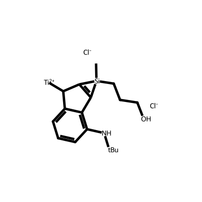 CC(C)(C)Nc1cccc2c1C1=C([CH]2[Ti+2])[Si]1(C)CCCO.[Cl-].[Cl-]